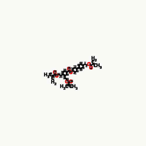 C=C(C)C(=O)OCCc1ccc(-c2ccc(OC(=O)c3ccc(CCOC(=O)C(=C)C)c(CCOC(=O)C(=C)C)c3)cc2)cc1